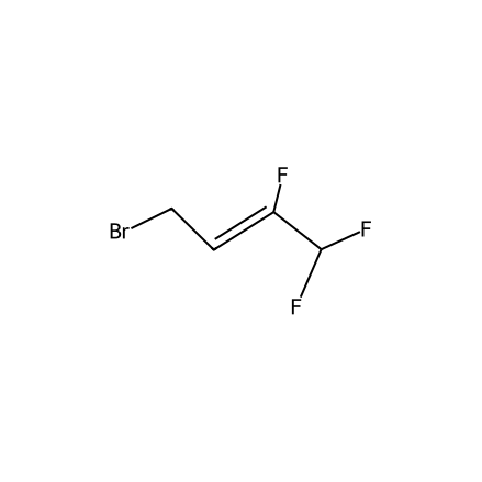 FC(=CCBr)C(F)F